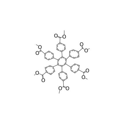 COC(=O)c1ccc(-c2c(-c3ccc(C(=O)OC)cc3)c(-c3ccc(C(=O)OC)cc3)c(-c3ccc(C(=O)OC)cc3)c(-c3ccc(C(=O)OC)cc3)c2-c2ccc(C(=O)OC)cc2)cc1